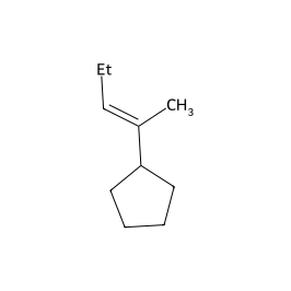 [CH2]CC=C(C)C1CCCC1